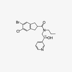 CCCN(C[C@@H](O)c1cccnc1)C(=O)C1Cc2cc(Cl)c(Br)cc2C1